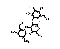 NCC1O[C@H](O[C@@H]2C(N)O[C@@H](N)[C@@H](OC3O[C@H](CO)[C@@H](O)C(N)[C@H]3O)C2O)[C@@H](N)C[C@@H]1O